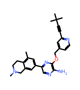 Cc1cc(-c2cnc(N)c(OCc3ccnc(C#CC(C)(C)C)c3)n2)cc2c1CCN(C)C2